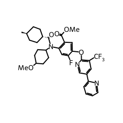 COC(=O)c1cc(Oc2ncc(-c3ccccn3)cc2C(F)(F)F)c(F)cc1N(C(=O)[C@H]1CC[C@H](C)CC1)C1CCC(OC)CC1